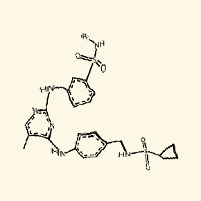 Cc1cnc(Nc2cccc(S(=O)(=O)NC(C)C)c2)nc1Nc1ccc(CNS(=O)(=O)C2CC2)cc1